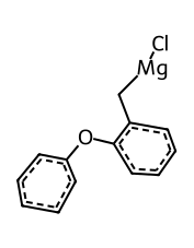 [Cl][Mg][CH2]c1ccccc1Oc1ccccc1